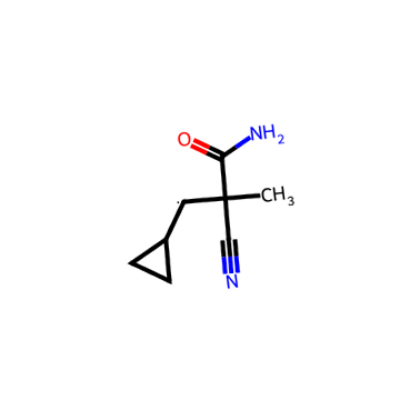 CC(C#N)([CH]C1CC1)C(N)=O